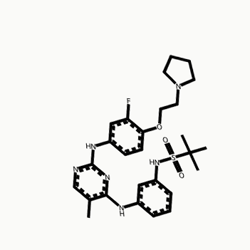 Cc1cnc(Nc2ccc(OCCN3CCCC3)c(F)c2)nc1Nc1cccc(NS(=O)(=O)C(C)(C)C)c1